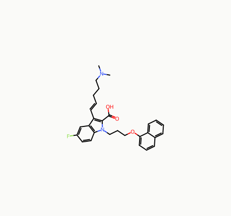 CN(C)CCCC=Cc1c(C(=O)O)n(CCCOc2cccc3ccccc23)c2ccc(F)cc12